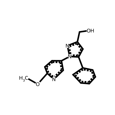 COc1ccc(-n2nc(CO)cc2-c2ccccc2)cn1